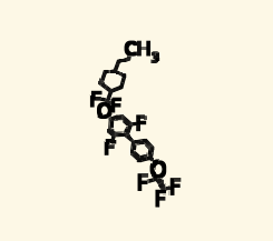 CCCC1CCC(C(F)(F)Oc2cc(F)c(-c3ccc(OC(F)=C(F)F)cc3)c(F)c2)CC1